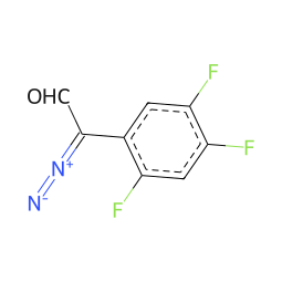 [N-]=[N+]=C(C=O)c1cc(F)c(F)cc1F